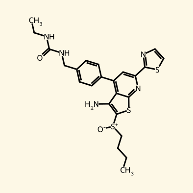 CCCC[S+]([O-])c1sc2nc(-c3nccs3)cc(-c3ccc(CNC(=O)NCC)cc3)c2c1N